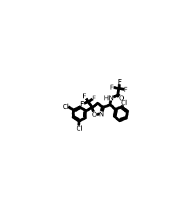 O=C(NC(C1=NOC(c2cc(Cl)cc(Cl)c2)(C(F)(F)F)C1)c1ccccc1Cl)C(F)(F)F